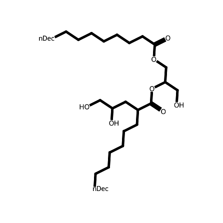 CCCCCCCCCCCCCCCCCC(=O)OCC(CO)OC(=O)C(CCCCCCCCCCCCCCCC)CC(O)CO